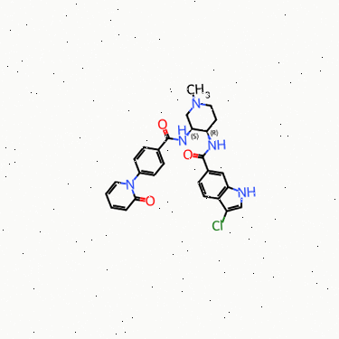 CN1CC[C@@H](NC(=O)c2ccc3c(Cl)c[nH]c3c2)[C@@H](NC(=O)c2ccc(-n3ccccc3=O)cc2)C1